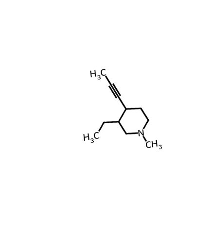 CC#CC1CCN(C)CC1CC